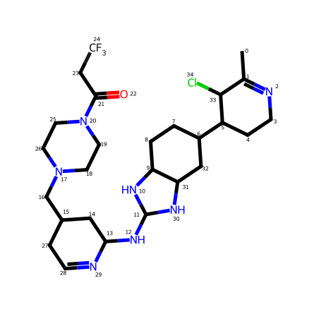 CC1=NCCC(C2CCC3NC(NC4CC(CN5CCN(C(=O)CC(F)(F)F)CC5)CC=N4)NC3C2)C1Cl